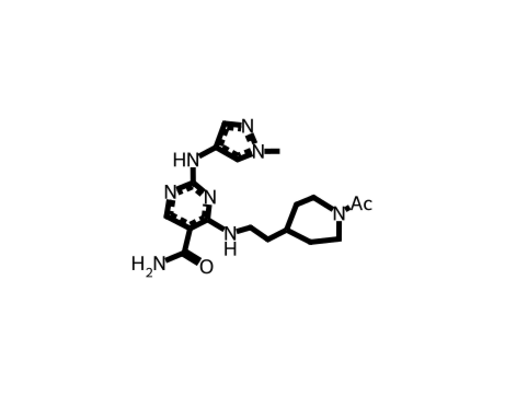 CC(=O)N1CCC(CCNc2nc(Nc3cnn(C)c3)ncc2C(N)=O)CC1